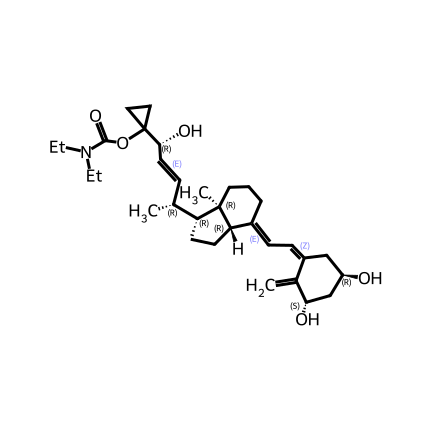 C=C1/C(=C\C=C2/CCC[C@]3(C)[C@@H]([C@H](C)/C=C/[C@@H](O)C4(OC(=O)N(CC)CC)CC4)CC[C@@H]23)C[C@@H](O)C[C@@H]1O